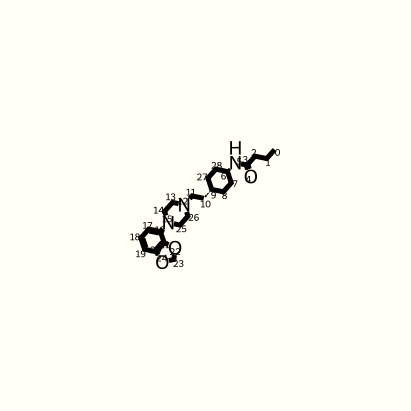 CCCC(=O)N[C@H]1CC[C@H](CCN2CCN(c3cccc4c3OCO4)CC2)CC1